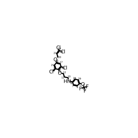 FC(F)(F)Oc1ccc(NCCCOc2c(Cl)cc(OCC=C(Cl)Cl)cc2Cl)cc1